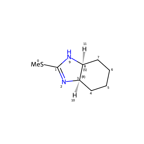 CSC1=N[C@@H]2CCCC[C@@H]2N1